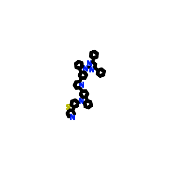 c1ccc(-c2cc(-c3ccccc3)nc(-n3c4ccccc4c4cc(-c5cccc(-c6ccc7c8ccccc8n(-c8ccc9sc%10ccncc%10c9c8)c7c6)n5)ccc43)n2)cc1